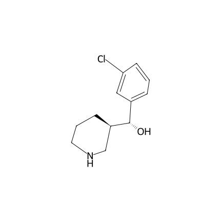 O[C@@H](c1cccc(Cl)c1)[C@@H]1CCCNC1